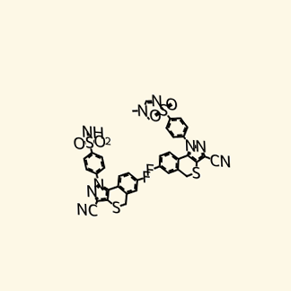 CN(C)/C=N\S(=O)(=O)c1ccc(-n2nc(C#N)c3c2-c2ccc(F)cc2CS3)cc1.N#Cc1nn(-c2ccc(S(N)(=O)=O)cc2)c2c1SCc1cc(F)ccc1-2